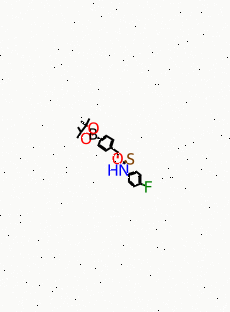 CC1(C)OB(c2ccc(COC(=S)Nc3ccc(F)cc3)cc2)OC1(C)C